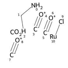 NCC(=O)O.[C-]#[O+].[C-]#[O+].[C-]#[O+].[Cl][Ru]